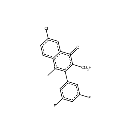 Cn1c(-c2cc(F)cc(F)c2)c(C(=O)O)c(=O)c2cc(Cl)ccc21